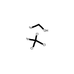 [2H]C(Cl)(Cl)Cl.[2H]CO